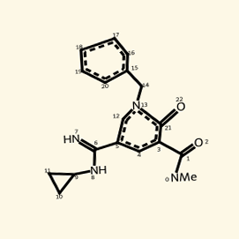 CNC(=O)c1cc(C(=N)NC2CC2)cn(Cc2ccccc2)c1=O